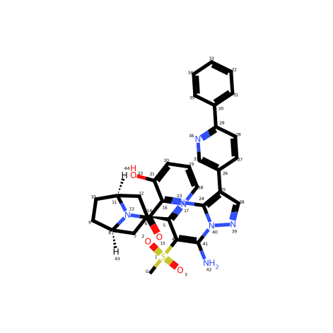 CS(=O)(=O)c1c([C@H]2C[C@H]3CC[C@@H](C2)N3C(=O)c2ncccc2O)nc2c(-c3ccc(-c4ccccc4)nc3)cnn2c1N